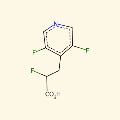 O=C(O)C(F)Cc1c(F)cncc1F